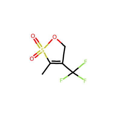 CC1=C(C(F)(F)F)COS1(=O)=O